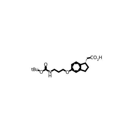 CC(C)(C)OC(=O)NCCCOc1ccc2c(c1)CC[C@H]2CC(=O)O